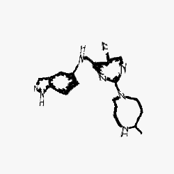 CC1CCN(c2ncc(F)c(Nc3ccc4[nH]ncc4c3)n2)CCN1